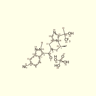 C[C@H]1CN(C(=O)c2c3ccc(C#N)cc3nn2C)Cc2cnc(C(C)(O)C(F)(F)F)n21.O=P(O)(O)O